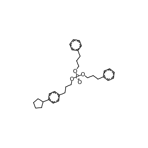 O=P(OCCCc1ccccc1)(OCCCc1ccccc1)OCCCc1ccc(C2CCCC2)cc1